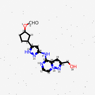 O=COC1CCC(c2cc(Nc3nccn4nc(CO)cc34)n[nH]2)C1